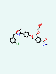 Cc1oc(Cc2cccc(Cl)c2)nc1-c1ccc(OCc2ccc(C(=O)N(C)C)cc2COCCO)cc1